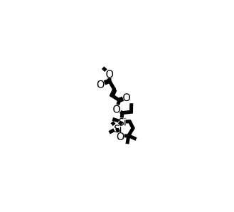 CCC(OC(=O)C=CC(=O)OC)[Si]1(C)CCC(C)(C)O[Si]1(C)C